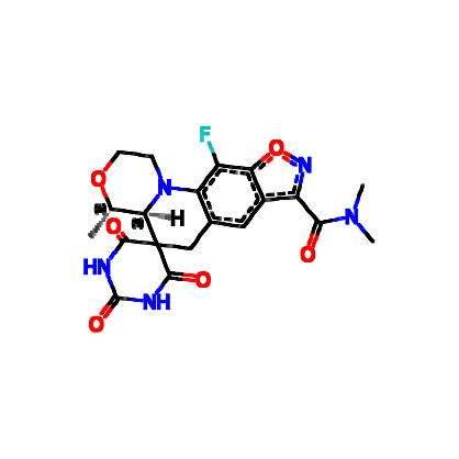 C[C@@H]1OCCN2c3c(cc4c(C(=O)N(C)C)noc4c3F)CC3(C(=O)NC(=O)NC3=O)[C@@H]12